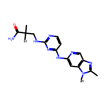 CCC(C)(CNc1nccc(Nc2cc3c(cn2)nc(C)n3C(C)C)n1)C(N)=O